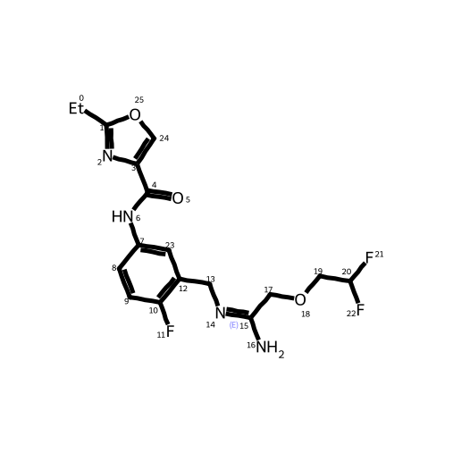 CCc1nc(C(=O)Nc2ccc(F)c(C/N=C(/N)COCC(F)F)c2)co1